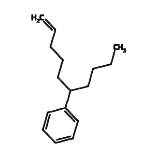 C=CCCCC(CCCC)c1ccccc1